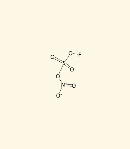 O=[N+]([O-])OS(=O)(=O)OF